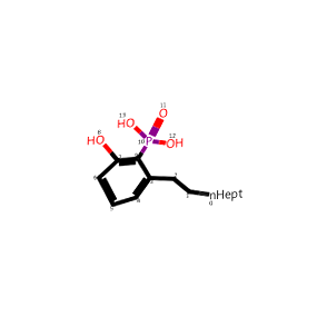 CCCCCCCCCc1cccc(O)c1P(=O)(O)O